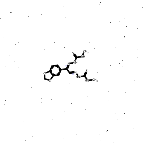 CNC(=S)N/N=C(\C=N\NC(=S)NC)c1ccc2c(c1)OCO2